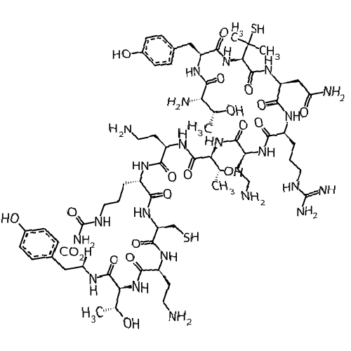 C[C@@H](O)[C@H](N)C(=O)N[C@@H](Cc1ccc(O)cc1)C(=O)N[C@H](C(=O)N[C@@H](CC(N)=O)C(=O)N[C@@H](CCCNC(=N)N)C(=O)N[C@@H](CCN)C(=O)N[C@H](C(=O)N[C@H](CCN)C(=O)N[C@@H](CCCNC(N)=O)C(=O)N[C@@H](CS)C(=O)N[C@@H](CCN)C(=O)N[C@H](C(=O)N[C@@H](Cc1ccc(O)cc1)C(=O)O)[C@@H](C)O)[C@@H](C)O)C(C)(C)S